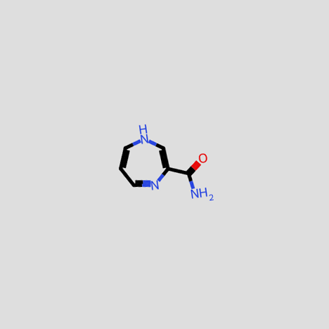 NC(=O)C1=CNC=CC=N1